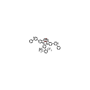 N#Cc1cc(-n2c3ccccc3c3cc(-c4ccnc(-c5ccccc5)c4)ccc32)c(-n2c3ccccc3c3cc(-c4ccnc(-c5ccccc5)c4)ccc32)cc1-c1c(C(F)(F)F)cccc1C(F)(F)F